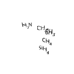 B.C.C.N.[SiH4]